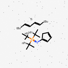 CC(C)(C)C=CC=CC(C)(C)C.CCCC(C)(C)P(=NC1=CC=CC1)(C(C)(C)CCC)C(C)(C)CCC.[Ti]